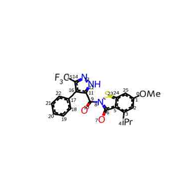 COc1cc(C(C)C)c2c(=O)n(C(=O)c3[nH]nc(C(F)(F)F)c3-c3ccccc3)sc2c1